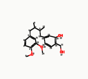 COc1ccc(CC(C)C(C)Cc2ccc(CO)c(O)c2)cc1OC